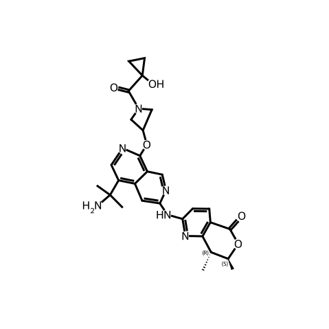 C[C@@H]1OC(=O)c2ccc(Nc3cc4c(C(C)(C)N)cnc(OC5CN(C(=O)C6(O)CC6)C5)c4cn3)nc2[C@H]1C